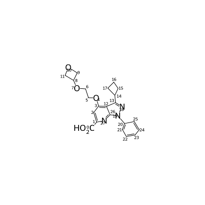 O=C(O)c1cc(OCCOC2COC2)c2c(C3CCC3)nn(-c3ccccc3)c2n1